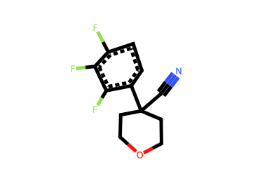 N#CC1(c2ccc(F)c(F)c2F)CCOCC1